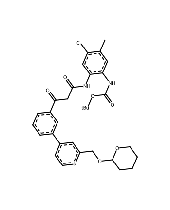 Cc1cc(NC(=O)OC(C)(C)C)c(NC(=O)CC(=O)c2cccc(-c3ccnc(COC4CCCCO4)c3)c2)cc1Cl